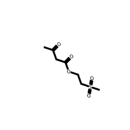 CC(=O)CC(=O)OCCS(C)(=O)=O